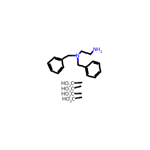 CC(=O)O.CC(=O)O.CC(=O)O.CC(=O)O.NCCN(Cc1ccccc1)Cc1ccccc1